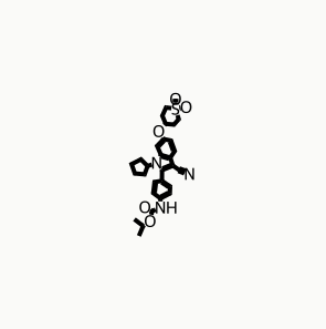 CC(C)OC(=O)Nc1ccc(-c2c(C#N)c3ccc(OC4CCS(=O)(=O)CC4)cc3n2C2CCCC2)cc1